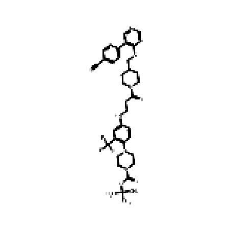 CC(C)(C)OC(=O)N1CCN(c2ccc(NCCC(=O)N3CCC(CSc4ccncc4-c4ccc(C#N)cc4)CC3)cc2C(F)(F)F)CC1